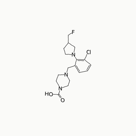 O=C(O)N1CCN(Cc2cccc(Cl)c2N2CCC(CF)C2)CC1